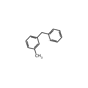 Cc1cccc(Cc2[c]cccc2)c1